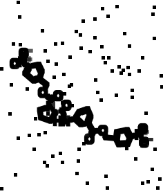 O=C(OCc1ccc([N+](=O)[O-])cc1)c1cccc(NC(=O)[C@@H]2CCCN2C(=O)OCc2ccc([N+](=O)[O-])cc2)c1